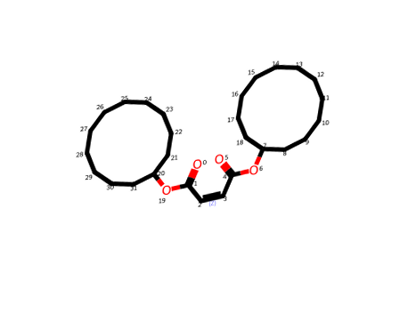 O=C(/C=C\C(=O)OC1CCCCCCCCCCC1)OC1CCCCCCCCCCC1